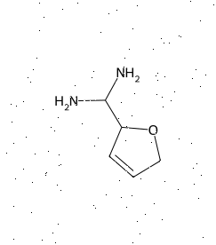 NC(N)C1C=CCO1